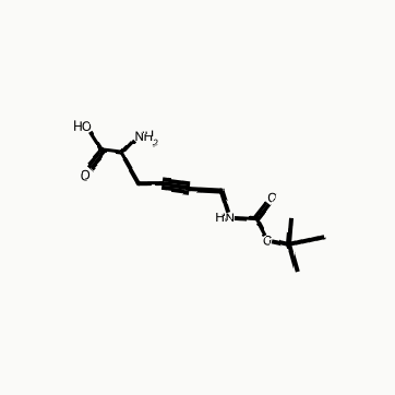 CC(C)(C)OC(=O)NCC#CCC(N)C(=O)O